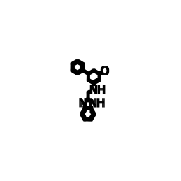 O=C1C=C(NCc2nc3ccccc3[nH]2)CC(c2ccccc2)C1